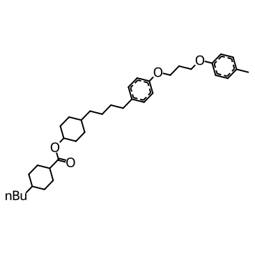 [CH2+][CH-]CCC1CCC(C(=O)OC2CCC(CCCCc3ccc(OCCCOc4ccc(C)cc4)cc3)CC2)CC1